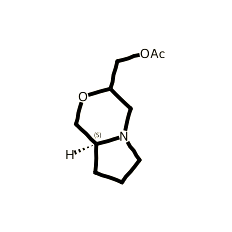 CC(=O)OCC1CN2CCC[C@H]2CO1